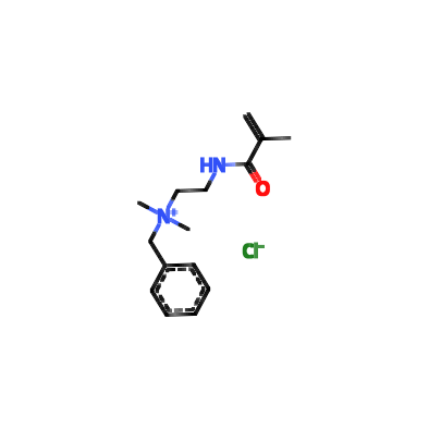 C=C(C)C(=O)NCC[N+](C)(C)Cc1ccccc1.[Cl-]